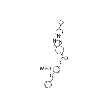 COc1cc(C=CC(=O)N2CCc3cnc(N4CCN(C5CCC5)CC4)nc3CC2)ccc1OCc1ccccc1